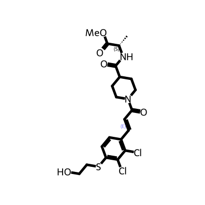 COC(=O)[C@H](C)NC(=O)C1CCN(C(=O)/C=C/c2ccc(SCCO)c(Cl)c2Cl)CC1